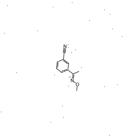 CO/N=C(\C)c1cccc(C#N)c1